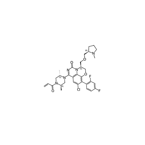 C=CC(=O)N1C[C@H](C)N(c2nc(=O)n3c4c(c(-c5ccc(F)cc5F)c(Cl)cc24)OC[C@@H]3COC[C@H]2CCCN2C)C[C@H]1C